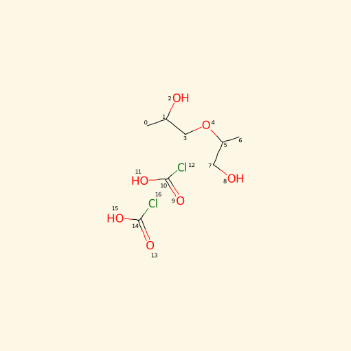 CC(O)COC(C)CO.O=C(O)Cl.O=C(O)Cl